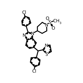 CS(=O)(=O)N1CCC(n2c(-c3ccc(Cl)cc3)nc3ccc(C(c4ccc(Cl)cc4)c4nccs4)cc32)CC1